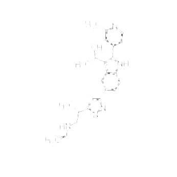 C=CNCC(C)c1nnc(-c2ccc3[nH]c(-c4ccnc(C)c4)c(C(C)C)c3c2)o1